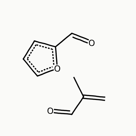 C=C(C)C=O.O=Cc1ccco1